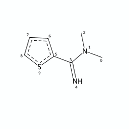 CN(C)C(=N)c1cccs1